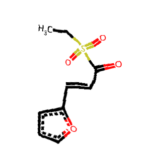 CCS(=O)(=O)C(=O)C=Cc1ccco1